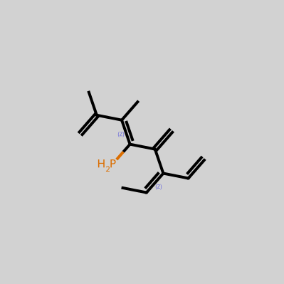 C=C/C(=C/C)C(=C)/C(P)=C(\C)C(=C)C